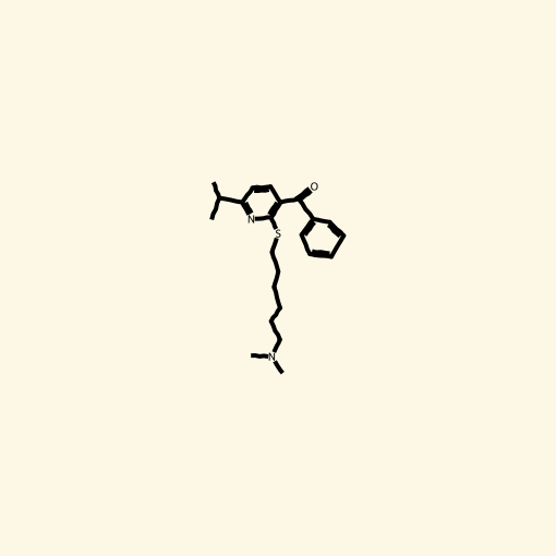 CC(C)c1ccc(C(=O)c2ccccc2)c(SCCCCCCN(C)C)n1